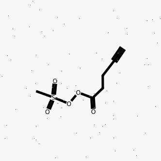 C#CCCC(=O)OOS(C)(=O)=O